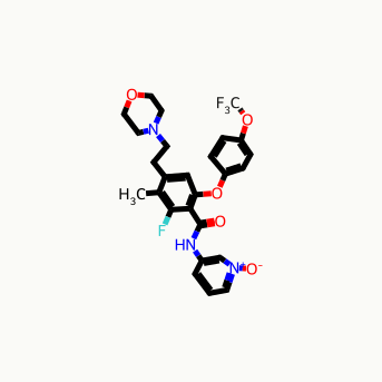 Cc1c(CCN2CCOCC2)cc(Oc2ccc(OC(F)(F)F)cc2)c(C(=O)Nc2ccc[n+]([O-])c2)c1F